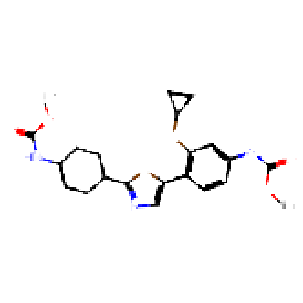 CC(C)OC(=O)Nc1ccc(-c2cnc(C3CCC(NC(=O)OC(C)C)CC3)s2)c(SC2CC2)c1